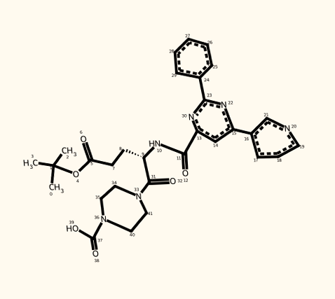 CC(C)(C)OC(=O)CC[C@H](NC(=O)c1cc(-c2cccnc2)nc(-c2ccccc2)n1)C(=O)N1CCN(C(=O)O)CC1